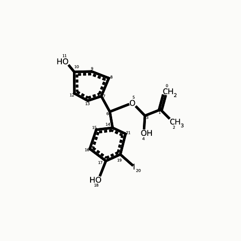 C=C(C)C(O)OC(c1ccc(O)cc1)c1ccc(O)c(I)c1